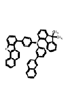 CC1(C)c2ccccc2-c2c(N(c3ccc(-c4cccc5oc6c7ccccc7ccc6c45)cc3)c3cccc(-c4ccc5ccccc5c4)c3)cccc21